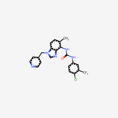 Cc1ccc2c(ncn2Cc2ccncc2)c1NC(=O)Nc1ccc(Cl)c(C(F)(F)F)c1